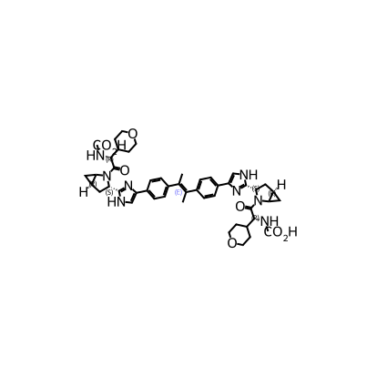 C/C(=C(/C)c1ccc(-c2c[nH]c([C@@H]3C[C@H]4CC4N3C(=O)[C@H](NC(=O)O)C3CCOCC3)n2)cc1)c1ccc(-c2c[nH]c([C@@H]3C[C@H]4CC4N3C(=O)[C@H](NC(=O)O)C3CCOCC3)n2)cc1